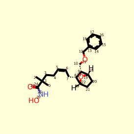 CC(C)(CC/C=C\C[C@@H]1[C@H](COCc2ccccc2)[C@@H]2CC[C@H]1O2)C(=O)NO